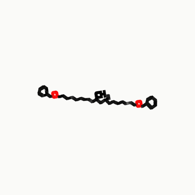 C=C(CCCCCCCCCOCc1ccccc1)CCCCCCCCCOCc1ccccc1